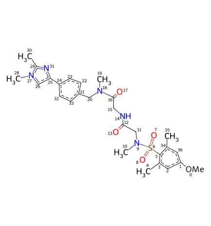 COc1cc(C)c(S(=O)(=O)N(C)CC(=O)NCC(=O)N(C)Cc2ccc(-c3cn(C)c(C)n3)cc2)c(C)c1